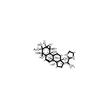 CC(=O)O[C@@]1(O)[C@@H]2O[C@@H]2[C@]2(C)[C@H]3CC[C@]4(C)[C@@H](C(C)C5OCCO5)CC[C@H]4[C@@H]3C=C[C@]23O[C@H]13